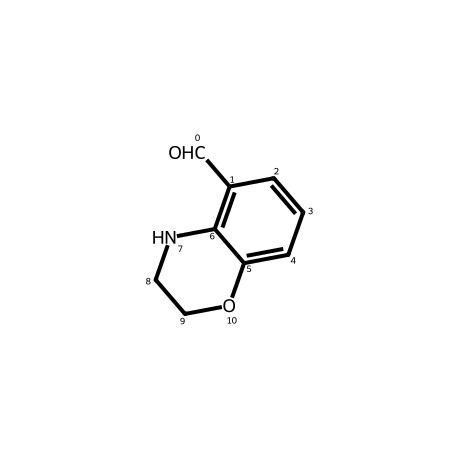 O=Cc1cccc2c1NCCO2